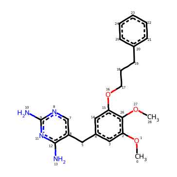 COc1cc(Cc2cnc(N)nc2N)cc(OCCCc2ccccc2)c1OC